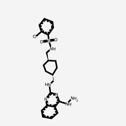 NNc1nc(NC[C@H]2CC[C@H](CNS(=O)(=O)c3ccccc3Cl)CC2)nc2ccccc12